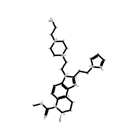 COC(=O)N1c2ccc3c(nc(CCn4cccn4)n3CCN3CCN(CCO)CC3)c2CC[C@@H]1C